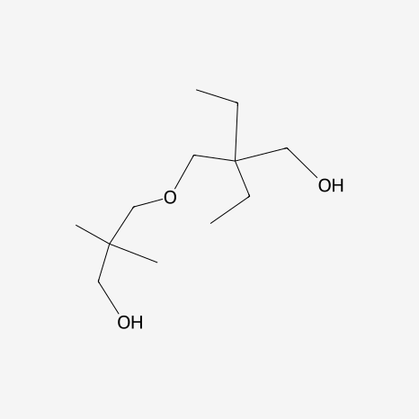 CCC(CC)(CO)COCC(C)(C)CO